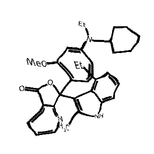 CCc1cccc2[nH]c(C)c(C3(c4ccc(N(CC)C5CCCCC5)cc4OC)OC(=O)c4cccnc43)c12